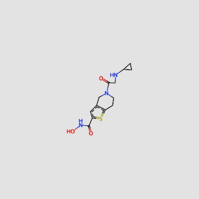 O=C(NO)c1cc2c(s1)CCN(C(=O)CNC1CC1)C2